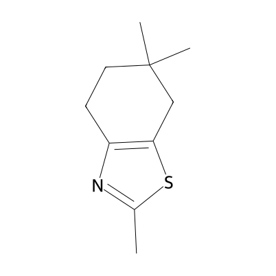 Cc1nc2c(s1)CC(C)(C)CC2